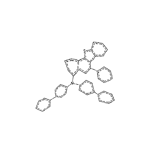 c1ccc(-c2ccc(N(c3ccc(-c4ccccc4)cc3)c3cccc4c3cc(-c3ccccc3)c3c5ccccc5sc43)cc2)cc1